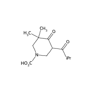 CC(C)C(=O)C1CN(C(=O)O)CC(C)(C)C1=O